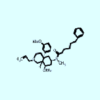 C=CCN1CC[C@@]2(c3cccc(OC)c3)C[C@@H](N(C)C(=O)CCCCCc3ccccc3)CC(OC)[C@@H]2C1